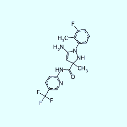 Cc1c(F)cccc1N1NC(C)(C(=O)Nc2ccc(C(F)(F)F)cn2)C=C1N